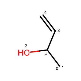 [CH2]C(O)C=C